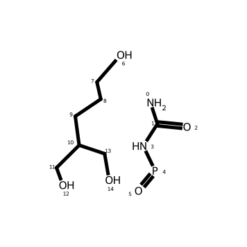 NC(=O)NP=O.OCCCC(CO)CO